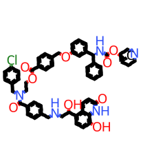 O=C(N[C@@H](c1ccccc1)c1cccc(OCc2ccc(C(=O)OCCN(Cc3ccc(Cl)cc3)C(=O)c3ccc(CNCC(O)c4ccc(O)c5[nH]c(=O)ccc45)cc3)cc2)c1)OC1CN2CCC1CC2